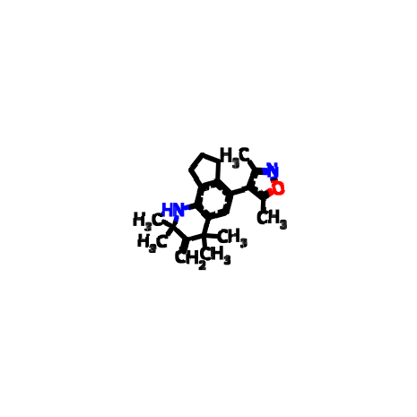 C=C1C(C)(C)Nc2c(cc(-c3c(C)noc3C)c3c2CCC3)C1(C)C